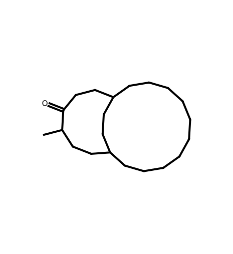 CC1CCC2CCCCCCCCCCC(CCC1=O)CC2